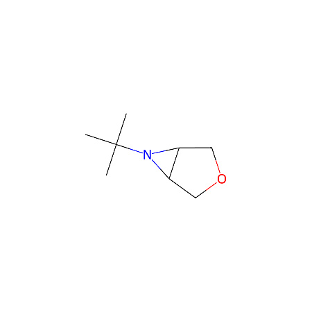 CC(C)(C)N1C2COCC21